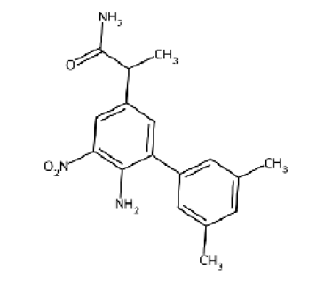 Cc1cc(C)cc(-c2cc(C(C)C(N)=O)cc([N+](=O)[O-])c2N)c1